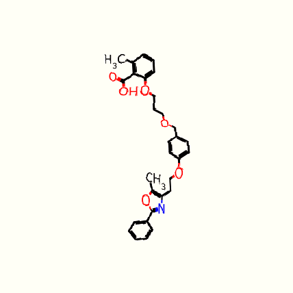 Cc1cccc(OCCCOCc2ccc(OCCc3nc(-c4ccccc4)oc3C)cc2)c1C(=O)O